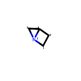 C1CN2CC12